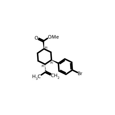 C=C(C)[C@@H]1CC[C@@H](C(=O)OC)C[C@H]1c1ccc(Br)cc1